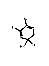 CCC1=PCC(C)(C)P=C1CC